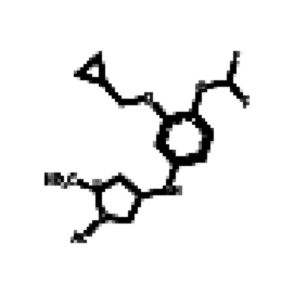 CC(=O)N1CC(Nc2ccc(OC(F)F)c(OCC3CC3)c2)C[C@@H]1C(=O)O